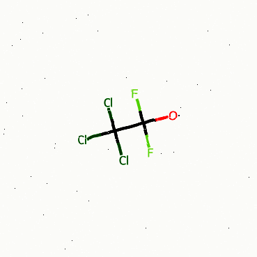 [O]C(F)(F)C(Cl)(Cl)Cl